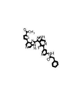 CC(=O)c1ccc(-c2cncc3[nH]c(-c4n[nH]c5cnc(-c6cncc(NC(=O)Cc7ccccc7)c6)c(F)c45)nc23)s1